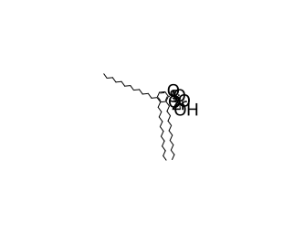 CCCCCCCCCCCCc1ccc(S(=O)(=O)[O][Zr](=[O])[OH])c(CCCCCCCCCCCC)c1CCCCCCCCCCCC